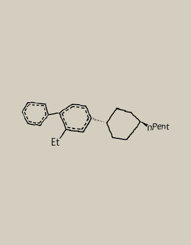 CCCCC[C@H]1CC[C@H](c2ccc(-c3ccccc3)c(CC)c2)CC1